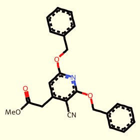 COC(=O)Cc1cc(OCc2ccccc2)nc(OCc2ccccc2)c1C#N